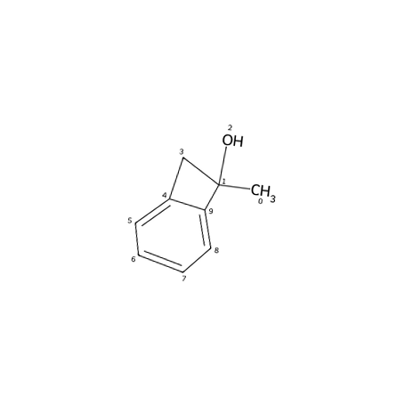 CC1(O)Cc2ccccc21